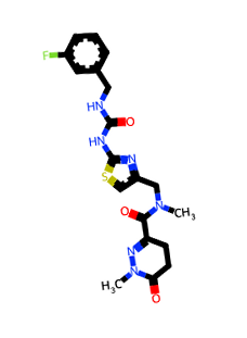 CN(Cc1csc(NC(=O)NCc2cccc(F)c2)n1)C(=O)C1=NN(C)C(=O)CC1